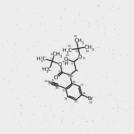 CC(C)(C)OC(=O)N(CC(O)OC(C)(C)C)c1cc(Br)ccc1C#N